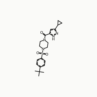 CC(C)(C)c1ccc(S(=O)(=O)N2CCN(C(=O)c3cc(C4CC4)n[nH]3)CC2)cc1